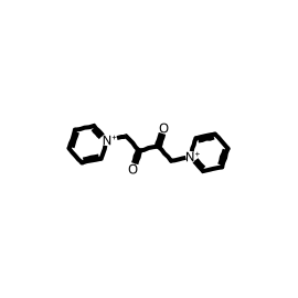 O=C(C[n+]1ccccc1)C(=O)C[n+]1ccccc1